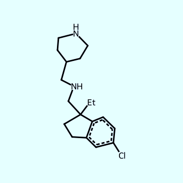 CCC1(CNCC2CCNCC2)CCc2cc(Cl)ccc21